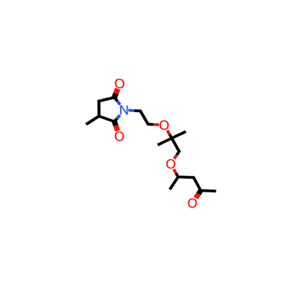 CC(=O)CC(C)OCC(C)(C)OCCN1C(=O)CC(C)C1=O